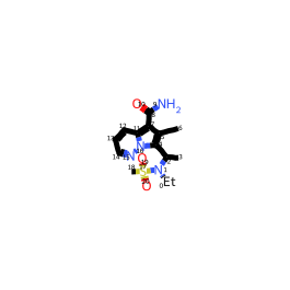 CCN(C(C)c1c(C)c(C(N)=O)c2cccnn12)S(C)(=O)=O